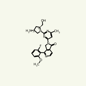 COc1cccc(F)c1-c1nccc2c1CN(c1cc(C)nc(N3C[C@@H](N)C[C@H]3CO)n1)C2=O